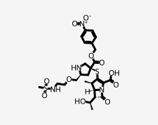 C[C@@H](O)[C@H]1C(=O)N2C(C(=O)O)=C(S[C@]3(C(=O)OCc4ccc([N+](=O)[O-])cc4)CN[C@H](COCCNS(C)(=O)=O)C3)[C@H](C)[C@H]12